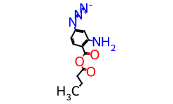 CCCC(=O)OC(=O)c1ccc(N=[N+]=[N-])cc1N